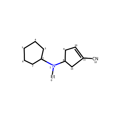 CCN(C1CCCCC1)C1CC=C(C#N)C1